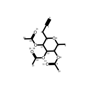 C#CCC1OC(C)C(OC(C)=O)C(OC(C)=O)C1OC(C)=O